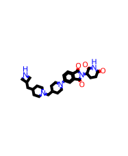 O=C1CCC(N2C(=O)c3ccc(N4CCC(CN5CCC(CC6CNC6)CC5)CC4)cc3C2=O)C(=O)N1